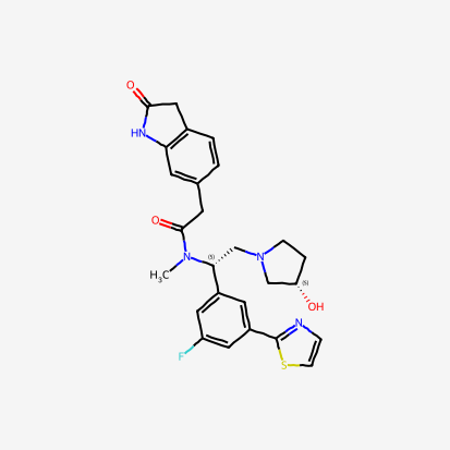 CN(C(=O)Cc1ccc2c(c1)NC(=O)C2)[C@H](CN1CC[C@H](O)C1)c1cc(F)cc(-c2nccs2)c1